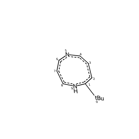 CC(C)(C)c1cccnccc[nH]1